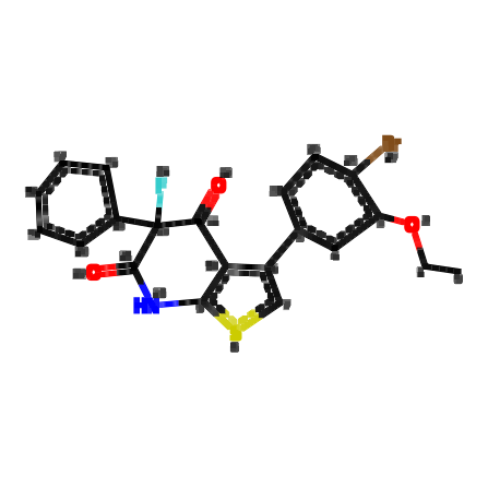 CCOc1cc(-c2csc3c2C(=O)C(F)(c2ccccc2)C(=O)N3)ccc1Br